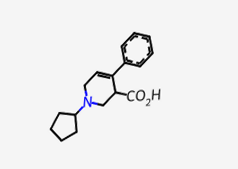 O=C(O)C1CN(C2CCCC2)CC=C1c1ccccc1